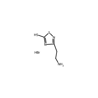 Br.NCCc1nsc(S)n1